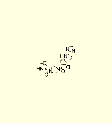 Cn1ccnc1C(=O)Nc1ccc(C(=O)N2CCN(C(=O)[C@@H]3COCCN3)CC2)c(Cl)c1